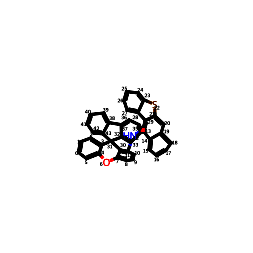 c1ccc2c(c1)Oc1cccc(Nc3c4ccccc4cc4sc5ccccc5c34)c1C21c2ccccc2-c2ccccc21